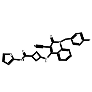 N#Cc1c(NC2CC(C(=O)Nc3cccs3)C2)c2ccccc2n(Cc2ccc(F)cc2)c1=O